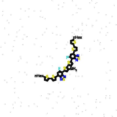 CCCCCCc1ccc(-c2ccc(-c3cc(F)c(-c4cc5c(s4)-c4sc(-c6c(F)cc(-c7ccc(-c8ccc(CCCCCC)s8)s7)c7nsnc67)cc4[SiH2]5)c4nsnc34)s2)s1